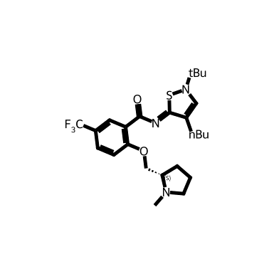 CCCCc1cn(C(C)(C)C)sc1=NC(=O)c1cc(C(F)(F)F)ccc1OC[C@@H]1CCCN1C